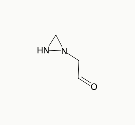 O=CCN1CN1